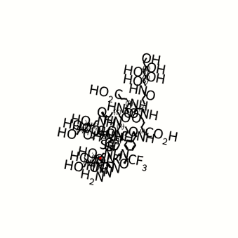 Nc1nc2ncc(CN(C(=O)C(F)(F)F)c3ccc(C(=O)N[C@H](CCC(=O)N[C@@H](CCC(=O)NC[C@H](O)[C@@H](O)[C@H](O)[C@H](O)CO)C(=O)N[C@H](CCC(=O)O)C(=O)N[C@@H](CCC(=O)NC[C@H](O)[C@@H](O)[C@H](O)[C@H](O)CO)C(=O)N[C@H](CCC(=O)O)C(=O)N[C@@H](CCC(=O)NC[C@H](O)[C@@H](O)[C@H](O)[C@H](O)CO)C(=O)N[C@H](CS)C(=O)O)C(=O)O)cc3)nc2c(=O)[nH]1